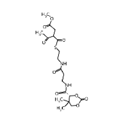 COC(=O)CC(C(C)=O)C(=O)SCCNC(=O)CCNC(=O)[C@@H]1OC(=O)OCC1(C)C